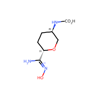 N/C(=N\O)[C@@H]1CC[C@@H](NC(=O)O)CO1